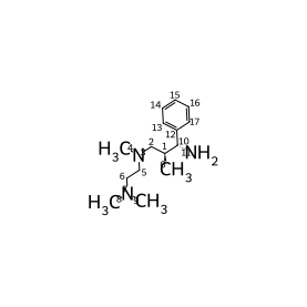 C[C@@H](CN(C)CCN(C)C)[C@@H](N)c1ccccc1